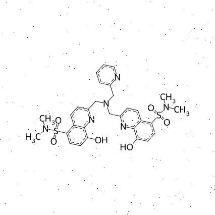 CN(C)S(=O)(=O)c1ccc(O)c2nc(CN(Cc3ccccn3)Cc3ccc4c(S(=O)(=O)N(C)C)ccc(O)c4n3)ccc12